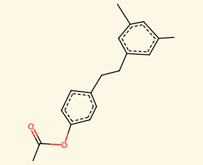 CC(=O)Oc1ccc(CCc2cc(C)cc(C)c2)cc1